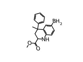 Bc1ccc2c(c1)C(C)(c1ccccc1)CC(C(=O)OC)N2